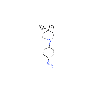 CC1(C)CCN(C2CCC(N)CC2)CC1